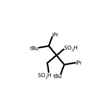 CC(C)C(C(C)(C)C)C(CS(=O)(=O)O)(C(C(C)C)C(C)(C)C)S(=O)(=O)O